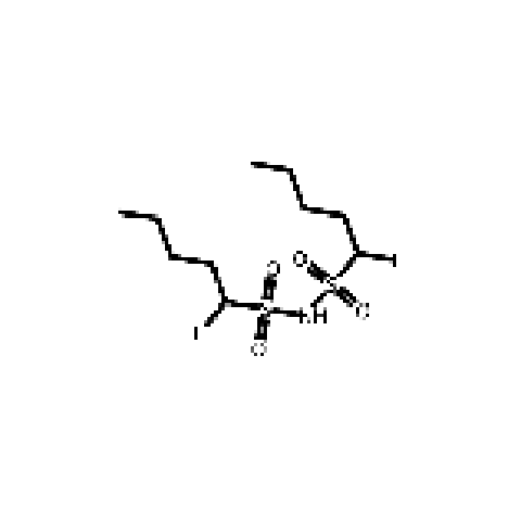 CCCCC(F)S(=O)(=O)NS(=O)(=O)C(F)CCCC